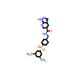 Cc1cc(C)cc(S(=O)(=O)c2ccc(CNC(=O)c3cnc4[nH]ncc4c3)cc2)c1